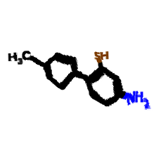 Cc1ccc(-c2ccc(N)cc2S)cc1